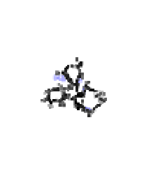 C=C/C=C(\C=C/C)n1c(-c2ccccc2)nc(=C/C)/c1=C\C